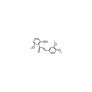 COc1ccc(C=CC(=O)c2c(O)cccc2OC)cc1OC